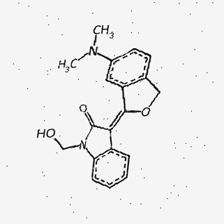 CN(C)c1ccc2c(c1)C(=C1C(=O)N(CO)c3ccccc31)OC2